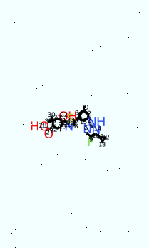 Cc1cc(Nc2ncc(F)c(C3CC3)n2)cc(-c2cnc([C@@]3(O)CC[C@H](C(=O)O)C(C)(C)C3)s2)c1